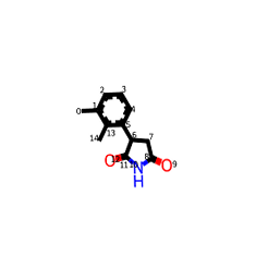 Cc1cccc(C2CC(=O)NC2=O)c1C